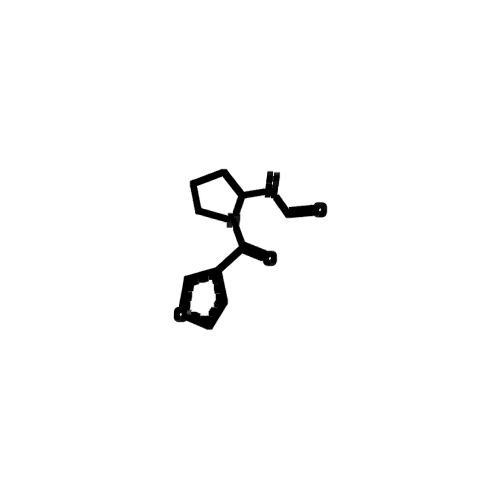 O=CNC1CCCN1C(=O)c1ccoc1